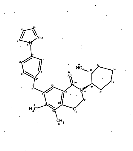 Cc1c(Cc2ccc(-n3cccn3)cc2)cc2c(c1C)OCN([C@@H]1CCCC[C@H]1O)C2=O